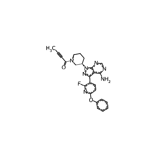 CC#CC(=O)N1CCC[C@@H](n2nc(-c3ccc(Oc4ccccc4)nc3F)c3c(N)ncnc32)C1